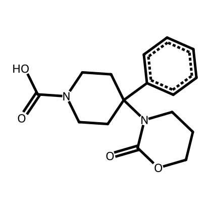 O=C(O)N1CCC(c2ccccc2)(N2CCCOC2=O)CC1